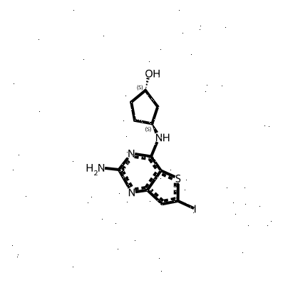 Nc1nc(N[C@H]2CC[C@H](O)C2)c2sc(I)cc2n1